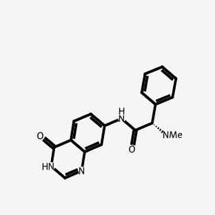 CN[C@H](C(=O)Nc1ccc2c(=O)[nH]cnc2c1)c1ccccc1